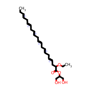 CC/C=C/C/C=C/C/C=C/C/C=C/C/C=C/C/C=C/CC(OCC)C(=O)OC(CO)CO